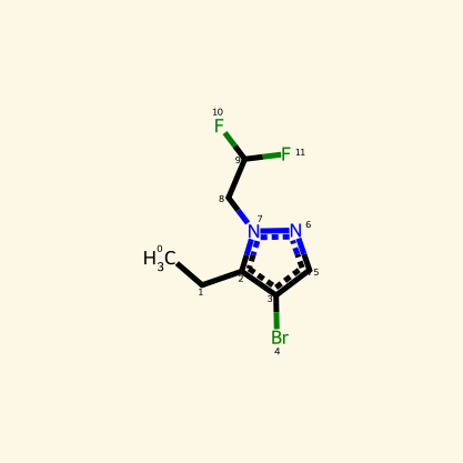 CCc1c(Br)[c]nn1CC(F)F